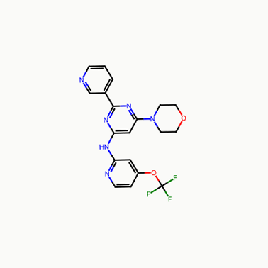 FC(F)(F)Oc1ccnc(Nc2cc(N3CCOCC3)nc(-c3cccnc3)n2)c1